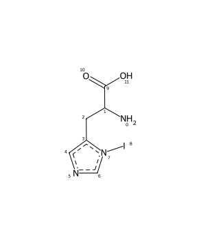 NC(Cc1cncn1I)C(=O)O